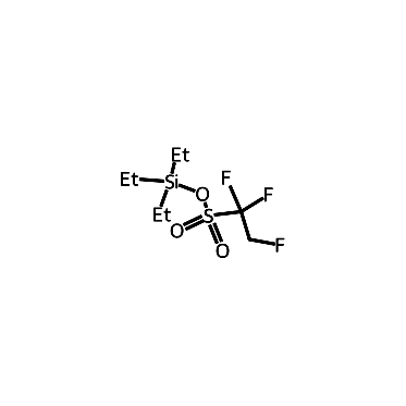 CC[Si](CC)(CC)OS(=O)(=O)C(F)(F)CF